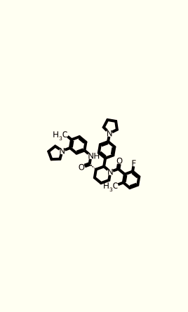 Cc1ccc(NC(=O)[C@H]2CCCN(C(=O)c3c(C)cccc3F)C2c2ccc(N3CCCC3)cc2)cc1N1CCCC1